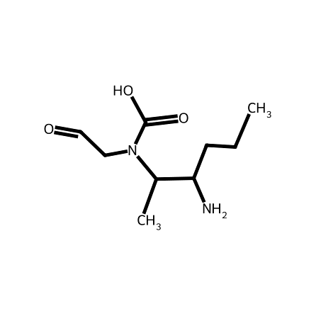 CCCC(N)C(C)N(CC=O)C(=O)O